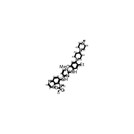 CCc1cc(Nc2nccc(Nc3ccc4nccnc4c3N(C)S(C)(=O)=O)n2)c(OC)cc1N1CCC(N2CCN(C)CC2)CC1